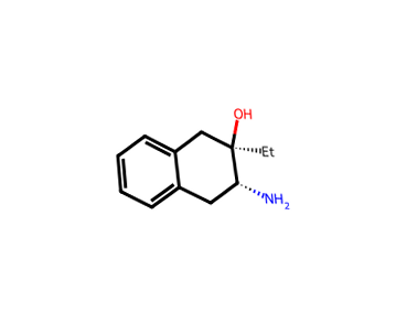 CC[C@@]1(O)Cc2ccccc2C[C@H]1N